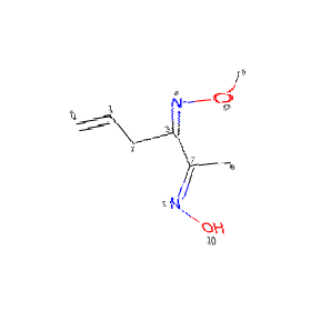 C=CCC(=NOC)C(C)=NO